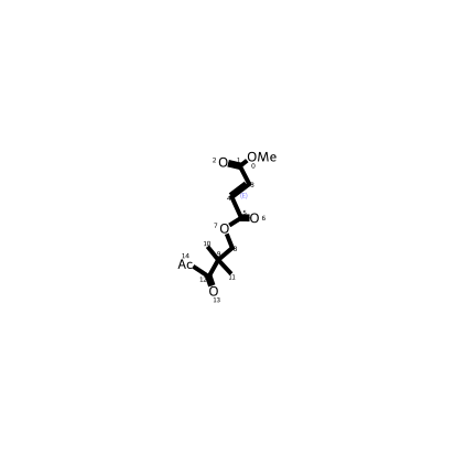 COC(=O)/C=C/C(=O)OCC(C)(C)C(=O)C(C)=O